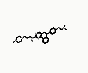 CN(C)C=Nc1ccc(C2Cc3cnc(NCCCN4CCN(C)CC4)nc3-c3ccccc32)cc1